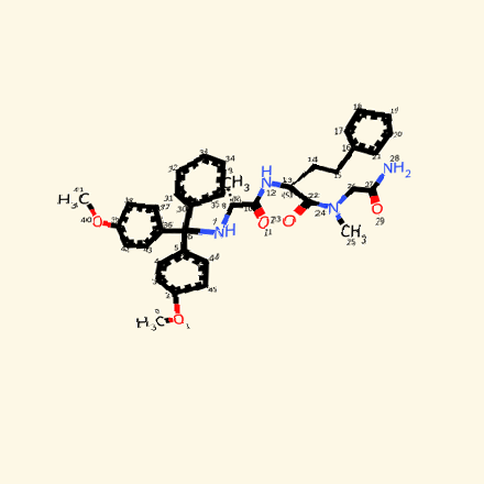 COc1ccc(C(N[C@H](C)C(=O)N[C@@H](CCc2ccccc2)C(=O)N(C)CC(N)=O)(c2ccccc2)c2ccc(OC)cc2)cc1